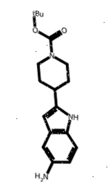 CC(C)(C)OC(=O)N1CCC(c2cc3cc(N)ccc3[nH]2)CC1